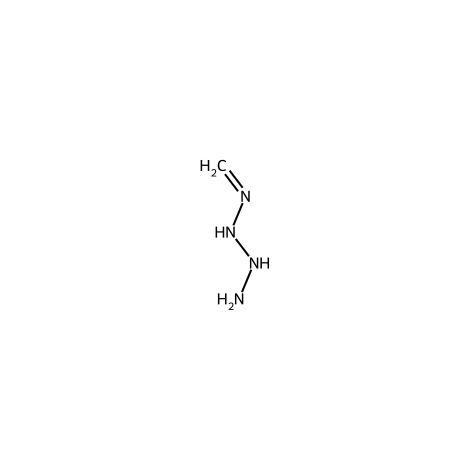 C=NNNN